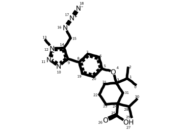 CC(C)C1(Oc2ccc(-c3nnn(C)c3CN=[N+]=[N-])cc2)CCCC(C(=O)O)(C(C)C)C1